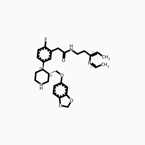 C/C=N\C(=C/C)CCNC(=O)Cc1cc([C@@H]2CCNC[C@H]2COc2ccc3c(c2)OCO3)ccc1F